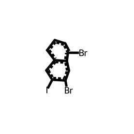 Brc1cc2c(Br)cccc2cc1I